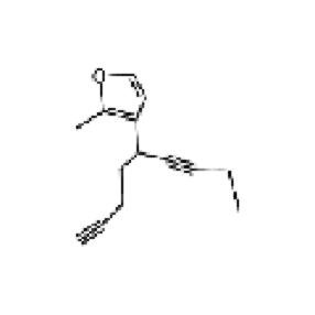 C#CCCC(C#CCC)c1ccoc1C